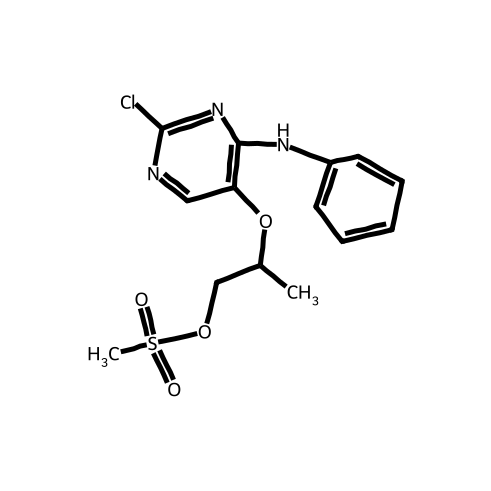 CC(COS(C)(=O)=O)Oc1cnc(Cl)nc1Nc1ccccc1